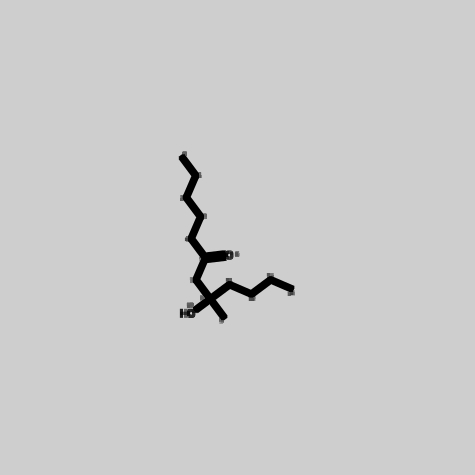 CCCCCC(=O)[CH]C(C)(O)CCCC